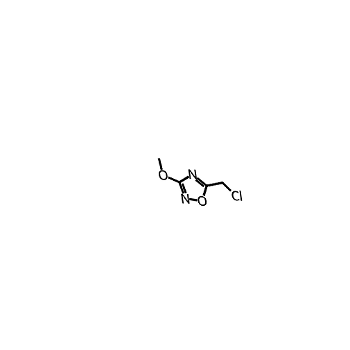 COc1noc(CCl)n1